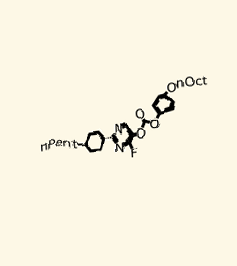 CCCCCCCCOc1ccc(OC(=O)Oc2cnc([C@H]3CC[C@H](CCCCC)CC3)nc2F)cc1